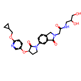 O=C(CN1Cc2ccc(N3CC[C@@H](Oc4ccc(OCC5CC5)nc4)C3=O)cc2C1=O)NCC(O)CO